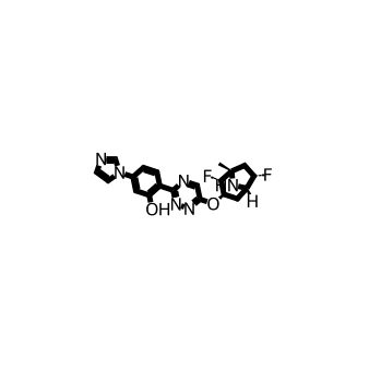 C[C@]12C[C@H](F)[C@H](C[C@@H](Oc3cnc(-c4ccc(-n5ccnc5)cc4O)nn3)[C@@H]1F)N2